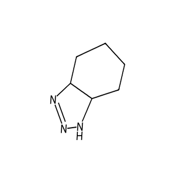 C1CCC2NN=NC2C1